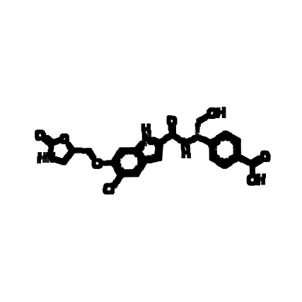 O=C1NCC(COc2cc3[nH]c(C(=O)N[C@H](CO)c4ccc(C(=O)O)cc4)cc3cc2Cl)O1